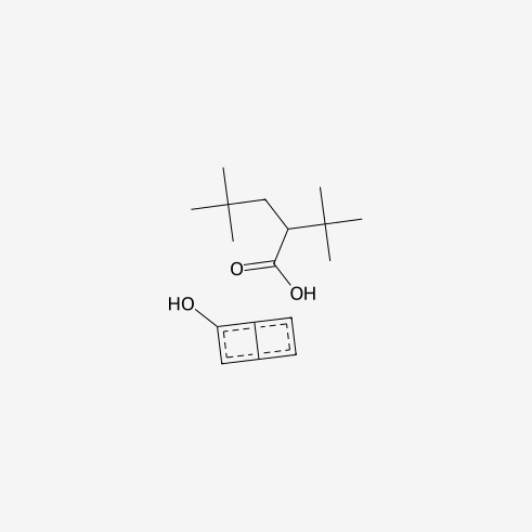 CC(C)(C)CC(C(=O)O)C(C)(C)C.Oc1cc2ccc1-2